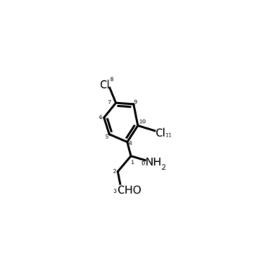 NC(CC=O)c1ccc(Cl)cc1Cl